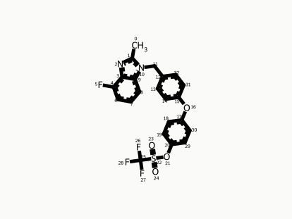 Cc1nc2c(F)cccc2n1Cc1ccc(Oc2ccc(OS(=O)(=O)C(F)(F)F)cc2)cc1